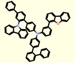 c1ccc(-c2ccc(-c3ccc(N(c4ccc(-c5ccccc5-c5ccccc5)cc4)c4cccc(-c5cccc6c5oc5ccccc56)c4)cc3)c(-n3c4ccccc4c4ccccc43)c2)cc1